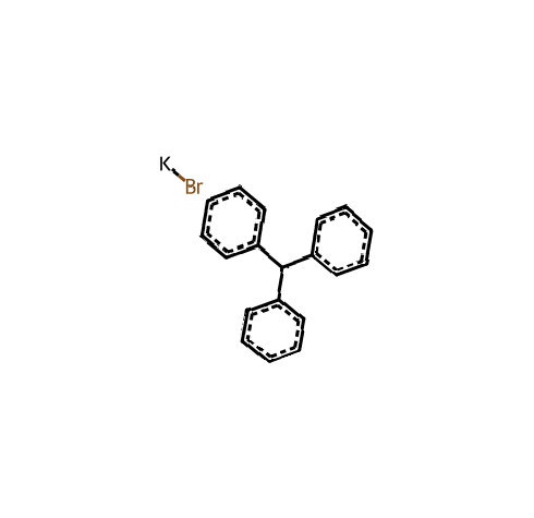 [K][Br].c1ccc([C](c2ccccc2)c2ccccc2)cc1